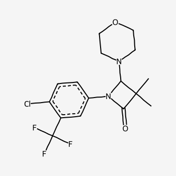 CC1(C)C(=O)N(c2ccc(Cl)c(C(F)(F)F)c2)C1N1CCOCC1